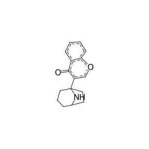 O=c1c(C23CCCC(CC2)N3)coc2ccccc12